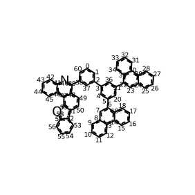 c1cc(-c2cc(-c3cc4ccccc4c4ccccc34)cc(-c3cc4ccccc4c4ccccc34)c2)cc(-c2nc3ccccc3c3c2ccc2c4ccccc4oc23)c1